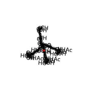 C#COP(=O)(O)OCCCCCCNC(=O)CCCC(=O)N1CC(COCCC(=O)NCCCCCCOC2OC(CO)C(O)C(O)C2NC(C)=O)C(OCCC(=O)NCCCCCCOC2OC(CO)C(O)C(O)C2NC(C)=O)C(COCCC(=O)NCCCCCCOC2OC(CO)C(O)C(O)C2NC(C)=O)C1